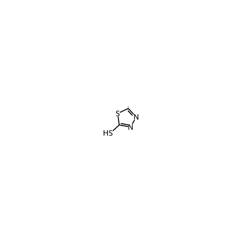 Sc1nn[c]s1